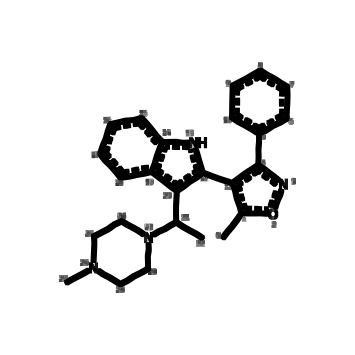 Cc1onc(-c2ccccc2)c1-c1[nH]c2ccccc2c1C(C)N1CCN(C)CC1